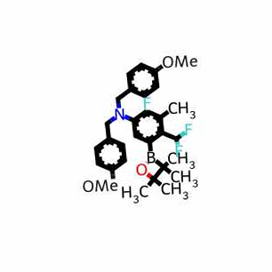 COc1ccc(CN(Cc2ccc(OC)cc2)c2cc(B3OC(C)(C)C3(C)C)c(C(F)F)c(C)c2F)cc1